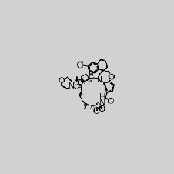 CO[C@]1(CN2CCOCC2)/C=C/C[C@H](C)[C@@H](C)S(=O)(=O)NC(=O)c2ccc3c(c2)N(C[C@@H]2CC[C@H]21)C[C@@]1(CCCc2cc(Cl)ccc21)CO3